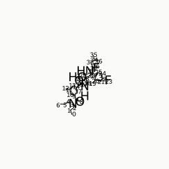 CCCN(CCC)C(=O)c1cc(C)cc(C(=O)N[C@@H](Cc2cc(F)cc(F)c2)[C@H](O)CNCCC(C)C)c1